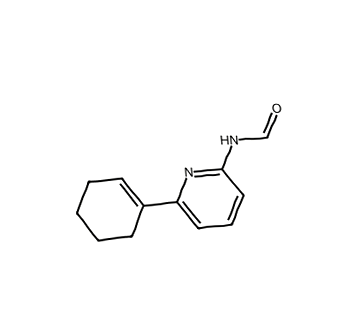 O=CNc1cccc(C2=CCCCC2)n1